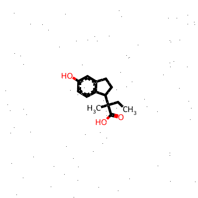 CCC(C)(C(=O)O)C1CCc2cc(O)ccc21